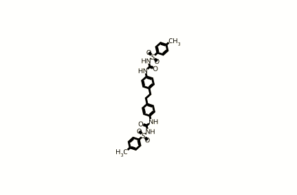 Cc1ccc(S(=O)(=O)NC(=O)Nc2ccc(CCc3ccc(NC(=O)NS(=O)(=O)c4ccc(C)cc4)cc3)cc2)cc1